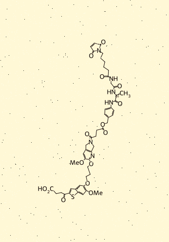 COc1cc2sc(C(=O)CCC(=O)O)cc2cc1OCCCOc1nc2c(cc1OC)CN(C(=O)CCC(=O)OCc1ccc(NC(=O)[C@H](C)NC(=O)CNC(=O)CCCCCN3C(=O)C=CC3=O)cc1)C2